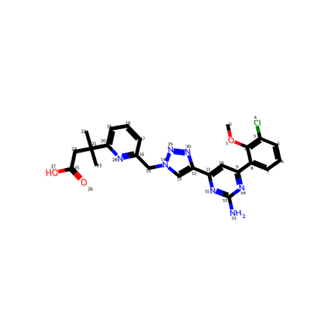 COc1c(Cl)cccc1-c1cc(-c2cn(Cc3cccc(C(C)(C)CC(=O)O)n3)nn2)nc(N)n1